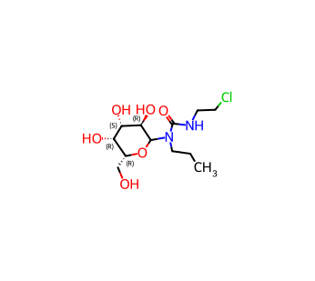 CCCN(C(=O)NCCCl)C1O[C@H](CO)[C@H](O)[C@H](O)[C@H]1O